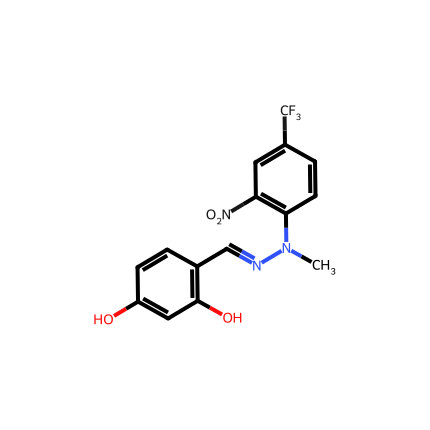 CN(/N=C/c1ccc(O)cc1O)c1ccc(C(F)(F)F)cc1[N+](=O)[O-]